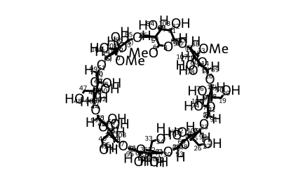 COC1O[C@@H]2O[C@@H]3C(OC)O[C@H](O[C@@H]4C(OC)O[C@H](O[C@@H]5C(CO)O[C@H](O[C@@H]6C(CO)O[C@H](O[C@@H]7C(CO)O[C@H](O[C@@H]8C(CO)O[C@H](O[C@@H]9C(CO)O[C@H](O[C@H]1[C@H](O)C2O)C(O)[C@H]9O)C(O)[C@H]8O)C(O)[C@H]7O)C(O)[C@H]6O)C(O)[C@H]5O)C(O)[C@H]4O)C(O)[C@H]3O